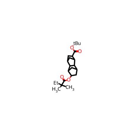 CCC(C)(C)C(=O)OC1CC2CC1C1C3CC(C(=O)OC(C)(C)C)C(C3)C21